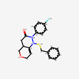 O=C1CC2COCC=C2N(SCc2ccccc2)N1c1ccc(F)cc1